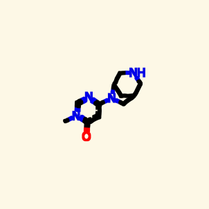 Cn1cnc(N2CC3CNCC2C3)cc1=O